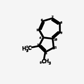 CC1=C(C)C2C=CC=CC=C2[C]1